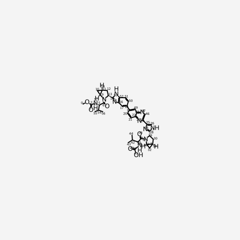 COC(=O)N[C@H](C(=O)N1[C@@H]2C[C@@H]2C[C@H]1c1nc2cc(-c3ccc4nc(-c5c[nH]c([C@@H]6C[C@H]7C[C@H]7N6C(=O)[C@@H](NC(=O)O)C(C)C)n5)cnc4c3)ccc2[nH]1)C(C)C